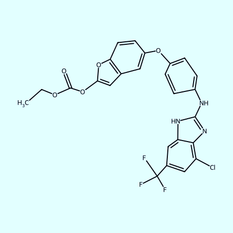 CCOC(=O)Oc1cc2cc(Oc3ccc(Nc4nc5c(Cl)cc(C(F)(F)F)cc5[nH]4)cc3)ccc2o1